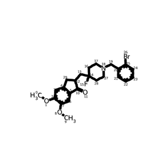 COc1cc2c(cc1OC)C(=O)C(CC1(F)CCN(Cc3ccccc3Br)CC1)C2